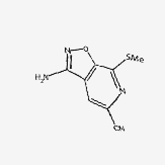 CSc1nc(C#N)cc2c(N)noc12